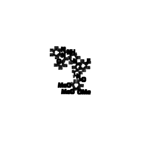 COc1cc(C(=O)N2CCC(CCN3CCC(Nc4nc5ccccc5n4Cc4ccco4)CC3)(c3ccc(F)cc3)C2)cc(OC)c1OC